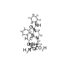 C[C@@H]1[C@@H](c2ccccc2)N(C(=O)Nc2ccccc2)CCN1C1C[C@@]1(NS(N)(=O)=O)C(=O)O